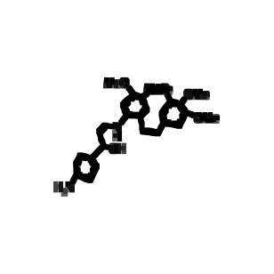 COc1cc(/C=C\c2cc(OC)c(OC)c(OC)c2)c(N/C=C\C(O)c2ccc(N)cc2)cc1OC